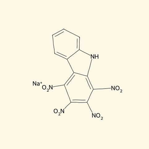 O=[N+]([O-])c1c([N+](=O)[O-])c([N+](=O)[O-])c2c([nH]c3ccccc32)c1[N+](=O)[O-].[Na+]